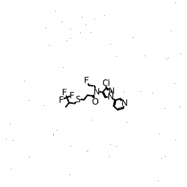 CC(CSCCC(=O)N(CCF)c1cn(-c2cccnc2)nc1Cl)C(F)(F)F